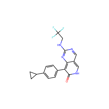 O=c1[nH]cc2cnc(NCC(F)(F)F)nc2c1-c1ccc(C2CC2)cc1